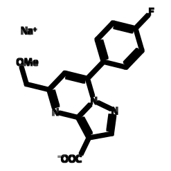 COCc1cc(-c2ccc(F)cc2)n2ncc(C(=O)[O-])c2n1.[Na+]